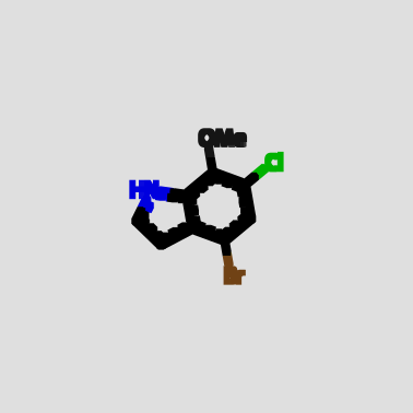 COc1c(Cl)cc(Br)c2cc[nH]c12